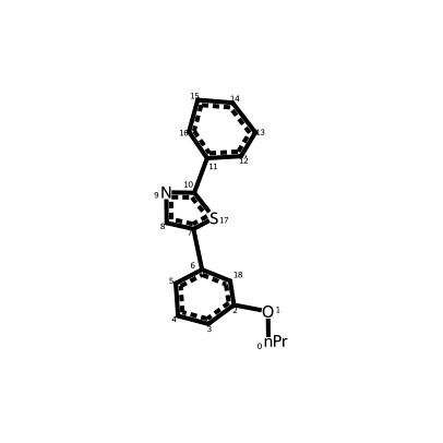 CCCOc1cccc(-c2cnc(-c3[c]cccc3)s2)c1